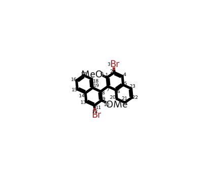 COc1c(Br)cc2c(c1-c1c(OC)c(Br)cc3ccccc13)CCC=C2